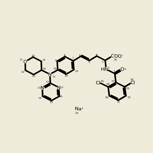 O=C(NC(C/C=C/c1ccc(N(c2ncccn2)C2CCOCC2)cc1)C(=O)[O-])c1c(Cl)cccc1Cl.[Na+]